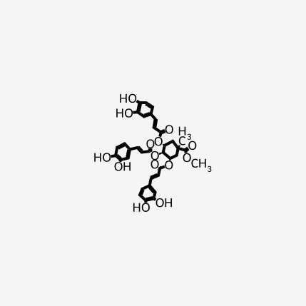 COC(=O)[C@]1(C)C[C@@H](OC(=O)/C=C/c2ccc(O)c(O)c2)[C@@H](OC(=O)/C=C/c2ccc(O)c(O)c2)[C@H](OC(=O)/C=C/c2ccc(O)c(O)c2)C1